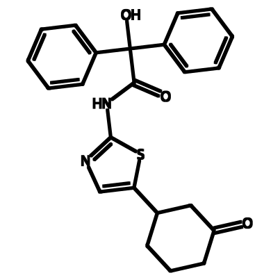 O=C1CCCC(c2cnc(NC(=O)C(O)(c3ccccc3)c3ccccc3)s2)C1